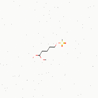 CCOC(CCCCOS(C)(=O)=O)OCC